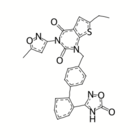 CCc1cc2c(=O)n(-c3cc(C)on3)c(=O)n(Cc3ccc(-c4ccccc4-c4noc(=O)[nH]4)cc3)c2s1